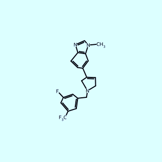 Cn1cnc2ccc(C3=CCN(Cc4cc(F)cc(C(F)(F)F)c4)C3)cc21